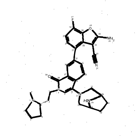 CN1CCC[C@H]1CCn1cc(N2CC3CCC(C2)N3)c2ccc(-c3ccc(F)c4oc(N)c(C#N)c34)cc2c1=O